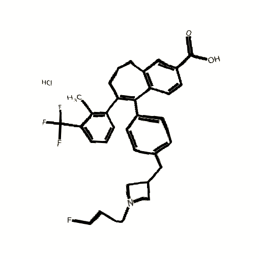 Cc1c(C2=C(c3ccc(CC4CN(CCCF)C4)cc3)c3ccc(C(=O)O)cc3CCC2)cccc1C(F)(F)F.Cl